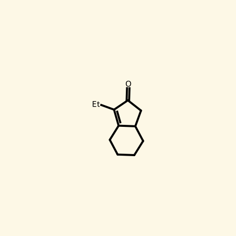 CCC1=C2CCCCC2CC1=O